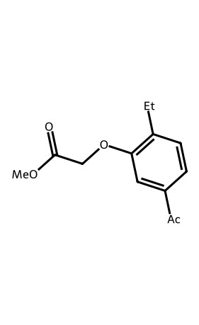 CCc1ccc(C(C)=O)cc1OCC(=O)OC